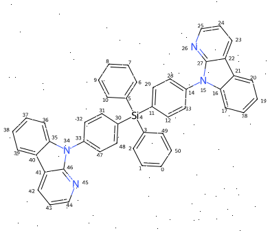 c1ccc([Si](c2ccccc2)(c2ccc(-n3c4ccccc4c4cccnc43)cc2)c2ccc(-n3c4ccccc4c4cccnc43)cc2)cc1